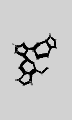 COc1cc(-c2nscc2-c2ccc3c(c2)OCC3)cc2c1OCO2